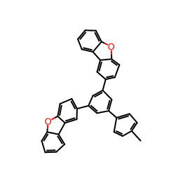 Cc1ccc(-c2cc(-c3ccc4oc5ccccc5c4c3)cc(-c3ccc4oc5ccccc5c4c3)c2)cc1